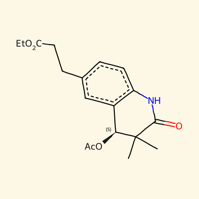 CCOC(=O)CCc1ccc2c(c1)[C@H](OC(C)=O)C(C)(C)C(=O)N2